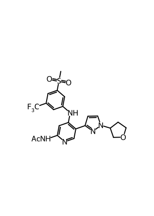 CC(=O)Nc1cc(Nc2cc(C(F)(F)F)cc(S(C)(=O)=O)c2)c(-c2ccn(C3CCOC3)n2)cn1